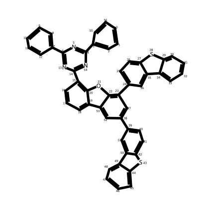 c1ccc(-c2nc(-c3ccccc3)nc(-c3cccc4c3oc3c(-c5ccc6sc7ccccc7c6c5)cc(-c5ccc6sc7ccccc7c6c5)cc34)n2)cc1